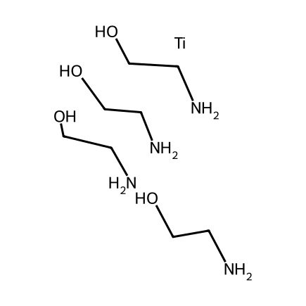 NCCO.NCCO.NCCO.NCCO.[Ti]